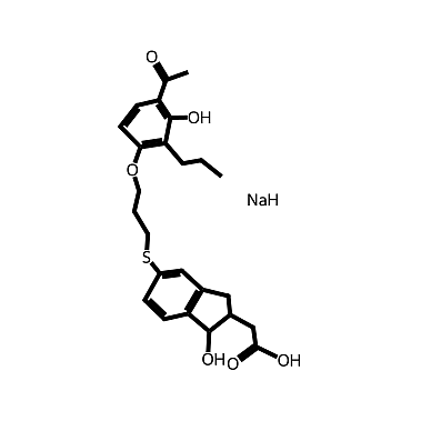 CCCc1c(OCCCSc2ccc3c(c2)CC(CC(=O)O)C3O)ccc(C(C)=O)c1O.[NaH]